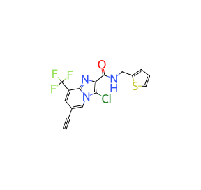 C#Cc1cc(C(F)(F)F)c2nc(C(=O)NCc3cccs3)c(Cl)n2c1